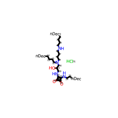 CCCCCCCCCCCCCCNCCCCN(CCCCCCCCCCCCCC)CC(O)CNc1c(NCCCCCCCCCCCC)c(=O)c1=O.Cl